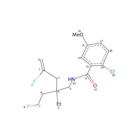 C=C(F)CC(CC)(CCF)CNC(=O)c1cc(OC)ccc1Cl